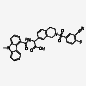 Cn1c2ccccc2c2c(C(=O)NC(C(=O)O)c3ccc4c(c3)CN(S(=O)(=O)c3ccc(F)c(C#N)c3)CC4)cccc21